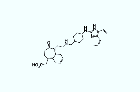 C=Cc1[nH]c(NC2CCC(CNCCN3C(=O)CCC(CC(=O)O)=C4CC=CC=C43)CC2)nc1/C=C\C